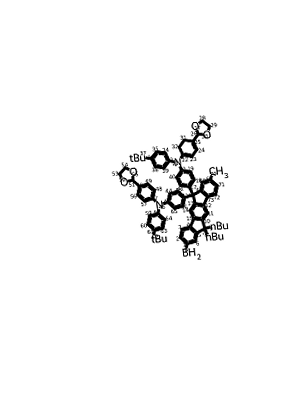 Bc1ccc2c(c1)C(CCCC)(CCCC)c1cc3c(cc1-2)C(c1ccc(N(C2=CC=C(C4OCCO4)CC2)c2ccc(C(C)(C)C)cc2)cc1)(c1ccc(N(c2ccc(C4OCCO4)cc2)c2ccc(C(C)(C)C)cc2)cc1)c1cc(C)ccc1-3